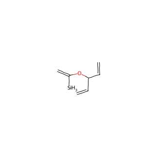 C=CC(C=C)OC(=C)[SiH3]